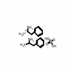 CC(N)Cc1ccccc1.C[C@H](N)Cc1ccccc1.O=S(=O)(O)O